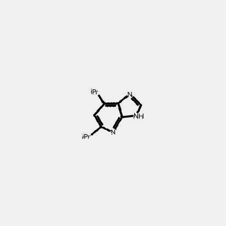 CC(C)c1cc(C(C)C)c2nc[nH]c2n1